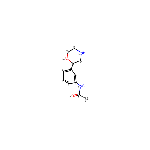 CCC(=O)Nc1cccc(C2CNCCO2)c1